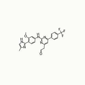 COc1cc(Nc2nc(CC=O)cc(-c3ccc(C(F)(F)F)cc3)n2)ccc1-c1nc(C)c[nH]1